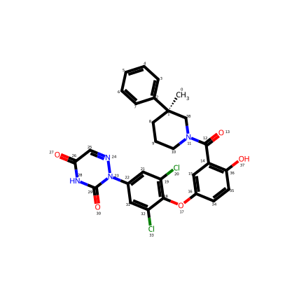 C[C@@]1(c2ccccc2)CCCN(C(=O)c2cc(Oc3c(Cl)cc(-n4ncc(=O)[nH]c4=O)cc3Cl)ccc2O)C1